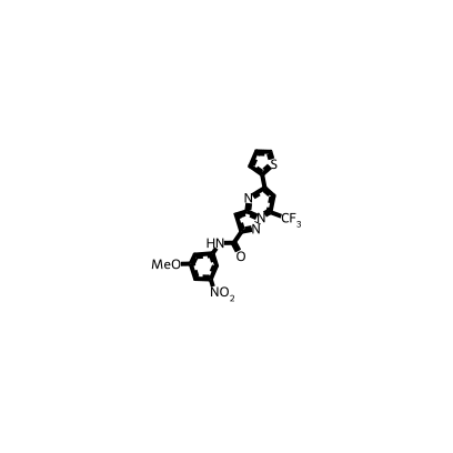 COc1cc(NC(=O)c2cc3nc(-c4cccs4)cc(C(F)(F)F)n3n2)cc([N+](=O)[O-])c1